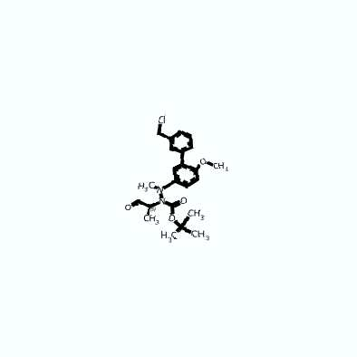 COc1ccc(N(C)N(C(=O)OC(C)(C)C)[C@@H](C)C=O)cc1-c1cccc(CCl)c1